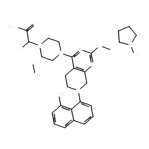 C=C(OC)C(O)N1CCN(c2nc(OC[C@@H]3CCCN3C)nc3c2CCN(c2cccc4cccc(C)c24)C3)C[C@@H]1CC#N